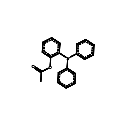 CC(=O)Oc1ccccc1[S+](c1ccccc1)c1ccccc1